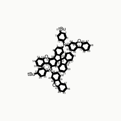 CC(C)(C)c1ccc(N(c2ccc3c(c2)C2(c4ccccc4-c4ccccc42)c2cc(N(c4ccc(C(C)(C)C)cc4)c4ccc5c(c4)oc4ccccc45)c4c(oc5ccccc54)c2-3)c2ccc3c(c2)oc2ccccc23)cc1